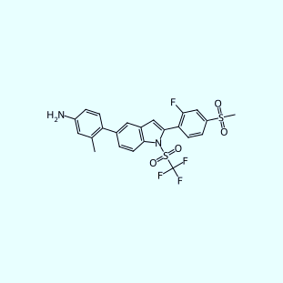 Cc1cc(N)ccc1-c1ccc2c(c1)cc(-c1ccc(S(C)(=O)=O)cc1F)n2S(=O)(=O)C(F)(F)F